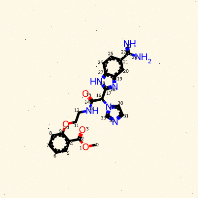 COC(=O)c1ccccc1OCCNC(=O)C(c1nc2cc(C(=N)N)ccc2[nH]1)n1ccnc1